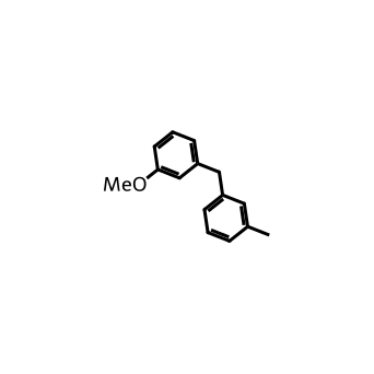 COc1cccc(Cc2cccc(C)c2)c1